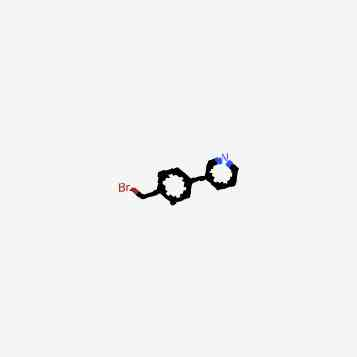 BrCc1ccc(-c2cccnc2)cc1